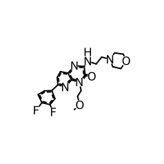 COCCn1c(=O)c(NCCN2CCOCC2)nc2ccc(-c3ccc(F)c(F)c3)nc21